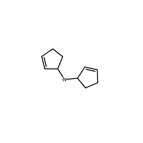 C1=CC([N]C2C=CCC2)CC1